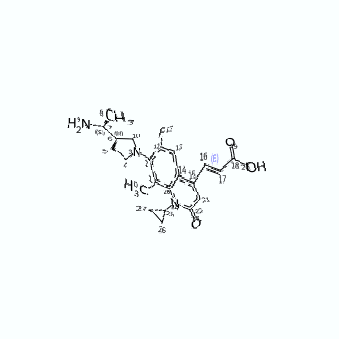 Cc1c(N2CC[C@@H]([C@H](C)N)C2)c(F)cc2c(/C=C/C(=O)O)cc(=O)n(C3CC3)c12